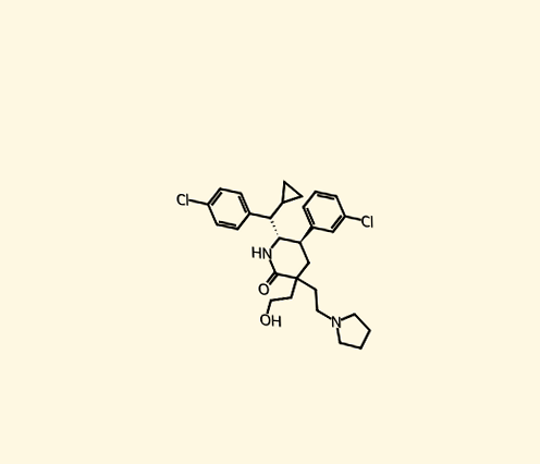 O=C1N[C@H](C(c2ccc(Cl)cc2)C2CC2)[C@@H](c2cccc(Cl)c2)CC1(CCO)CCN1CCCC1